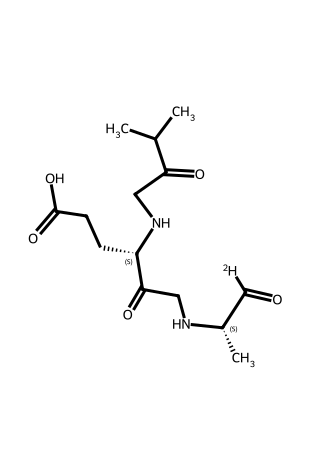 [2H]C(=O)[C@H](C)NCC(=O)[C@H](CCC(=O)O)NCC(=O)C(C)C